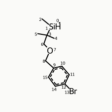 C[SiH](C)C(C)(C)COCc1ccc(Br)cc1